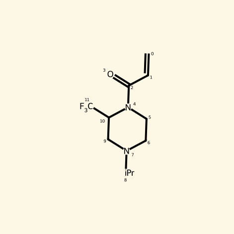 C=CC(=O)N1CCN(C(C)C)CC1C(F)(F)F